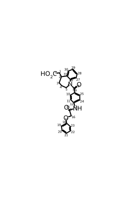 O=C(O)CC1CCCN(C(=O)c2ccc(NC(=O)COc3ccccc3)cc2)c2ccccc21